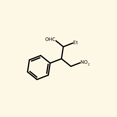 CCC(C=O)C(C[N+](=O)[O-])c1ccccc1